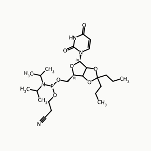 CCCC1(CCC)OC2C(O1)[C@@H](COP(OCCC#N)N(C(C)C)C(C)C)O[C@H]2n1ccc(=O)[nH]c1=O